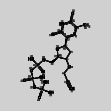 C#CCOC1C[C@H](n2cc(C)c(=O)[nH]c2=O)O[C@@H]1COP(=O)(O)OP(=O)(O)OP(=O)(O)O